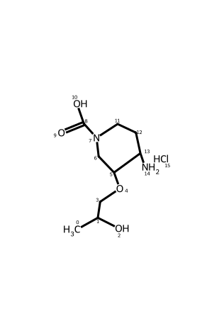 CC(O)COC1CN(C(=O)O)CCC1N.Cl